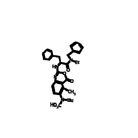 CCN(Cc1ccccc1)C(=O)[C@H](Cc1ccccc1)Nc1nc2ccc(N(C(=O)O)C(C)(C)C)c(C)c2c(=O)o1